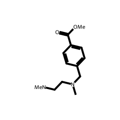 CNCCN(C)Cc1ccc(C(=O)OC)cc1